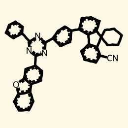 N#Cc1cccc2c1C1(CCCCC1)c1cccc(-c3ccc(-c4nc(-c5ccccc5)nc(-c5ccc6c(c5)oc5ccccc56)n4)cc3)c1-2